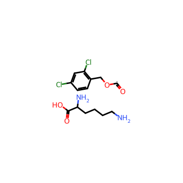 NCCCCC(N)C(=O)O.O=[C]OCc1ccc(Cl)cc1Cl